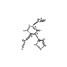 COC1=NC(n2cccc2)C(=C=O)C=C1